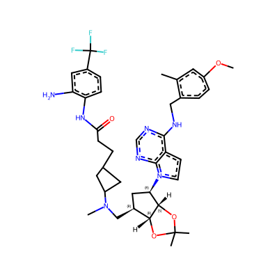 COc1ccc(CNc2ncnc3c2ccn3[C@@H]2C[C@H](CN(C)C3CC(CCC(=O)Nc4ccc(C(F)(F)F)cc4N)C3)[C@H]3OC(C)(C)O[C@H]32)c(C)c1